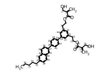 C=C(CO)C(=O)OCCc1cc(CCOC(=O)C(=C)CO)cc(-c2ccc(-c3ccc4cc(CCCCC)ccc4c3)cc2)c1